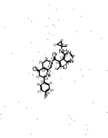 Cc1oc2ncnc(NC3(C)CC3)c2c1C(=O)N1CCC2=C(C1)N=C(c1ccc(F)cc1)CC2=O